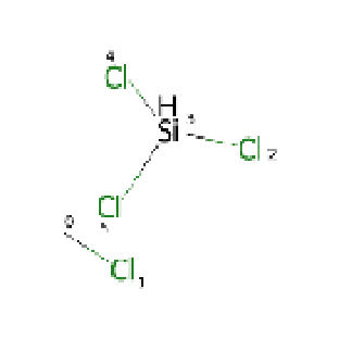 CCl.Cl[SiH](Cl)Cl